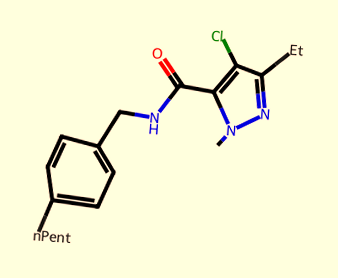 CCCCCc1ccc(CNC(=O)c2c(Cl)c(CC)nn2C)cc1